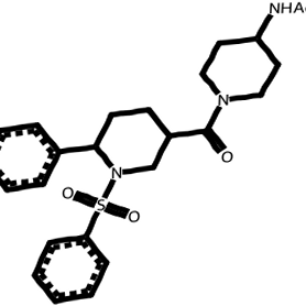 CC(=O)NC1CCN(C(=O)C2CCC(c3ccccc3)N(S(=O)(=O)c3ccccc3)C2)CC1